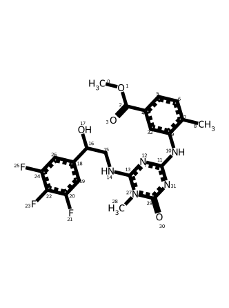 COC(=O)c1ccc(C)c(Nc2nc(NCC(O)c3cc(F)c(F)c(F)c3)n(C)c(=O)n2)c1